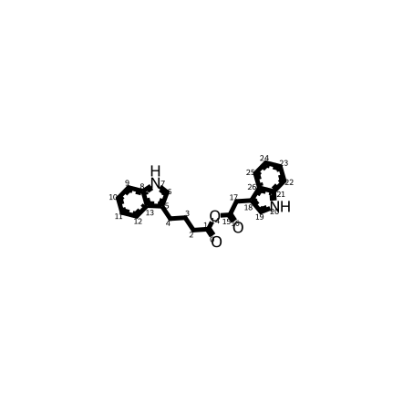 O=C(CCCc1c[nH]c2ccccc12)OC(=O)Cc1c[nH]c2ccccc12